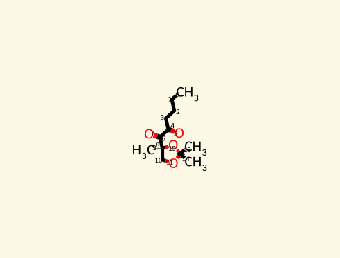 CCCCC(=O)C(=O)[C@]1(C)COC(C)(C)O1